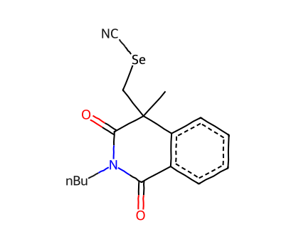 CCCCN1C(=O)c2ccccc2C(C)(C[Se]C#N)C1=O